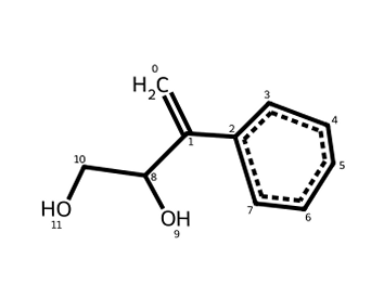 C=C(c1ccccc1)C(O)CO